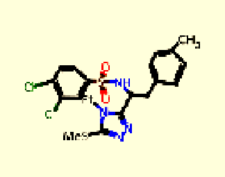 CCn1c(SC)nnc1C(Cc1ccc(C)cc1)NS(=O)(=O)c1ccc(Cl)c(Cl)c1